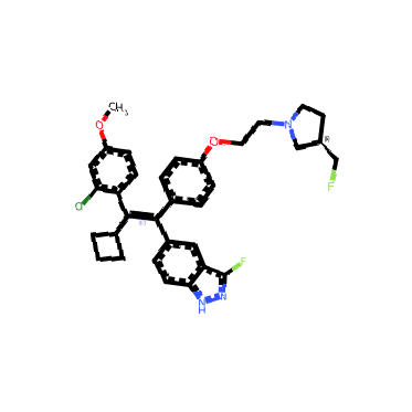 COc1ccc(/C(=C(\c2ccc(OCCN3CC[C@@H](CF)C3)cc2)c2ccc3[nH]nc(F)c3c2)C2CCC2)c(Cl)c1